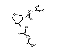 O=C1CCNCC1.OB(O)F.OB(O)F.OB(O)F.OB(O)F